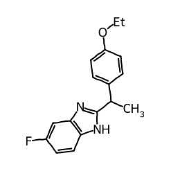 CCOc1ccc(C(C)c2nc3cc(F)ccc3[nH]2)cc1